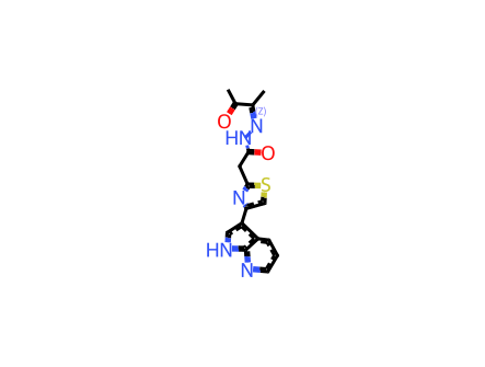 CC(=O)/C(C)=N\NC(=O)Cc1nc(-c2c[nH]c3ncccc23)cs1